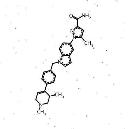 Cc1cc(C(N)=O)nn1-c1ccc2c(ccn2Cc2ccc(C3=CCN(C)C[C@@H]3C)cc2)c1